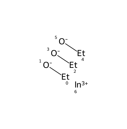 CC[O-].CC[O-].CC[O-].[In+3]